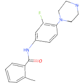 Cc1ccccc1C(=O)Nc1ccc(N2CC[N]CC2)c(F)c1